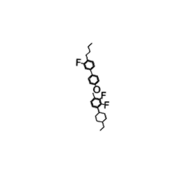 CCCCc1ccc(-c2ccc(OCc3ccc(C4CCC(CC)CC4)c(F)c3F)cc2)cc1F